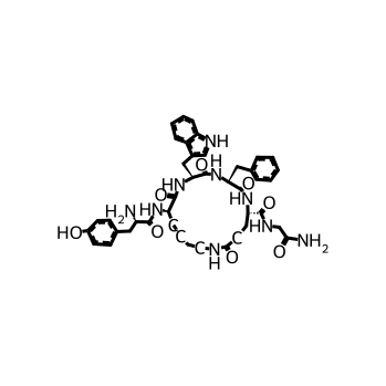 NC(=O)CNC(=O)[C@@H]1CCC(=O)NCCCC[C@@H](NC(=O)[C@@H](N)Cc2ccc(O)cc2)C(=O)N[C@@H](Cc2c[nH]c3ccccc23)C(=O)N[C@@H](Cc2ccccc2)C(=O)N1